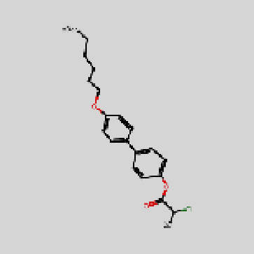 CCCCCCCCCCCCCCCOc1ccc(-c2ccc(OC(=O)C(Cl)C(C)CC)cc2)cc1